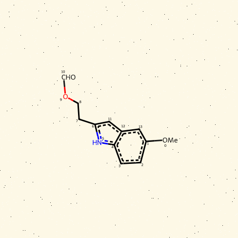 COc1ccc2[nH]c(CCOC=O)cc2c1